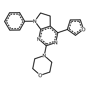 c1ccc(N2CCc3c(-c4ccoc4)nc(N4CCOCC4)nc32)cc1